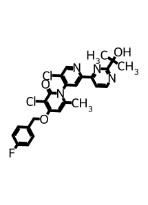 Cc1cc(OCc2ccc(F)cc2)c(Cl)c(=O)n1-c1cc(-c2ccnc(C(C)(C)O)n2)ncc1Cl